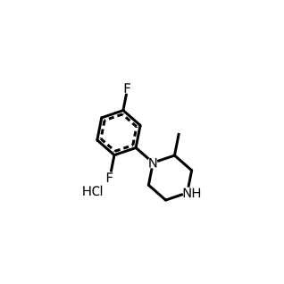 CC1CNCCN1c1cc(F)ccc1F.Cl